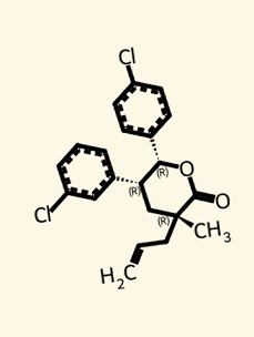 C=CC[C@]1(C)C[C@H](c2cccc(Cl)c2)[C@H](c2ccc(Cl)cc2)OC1=O